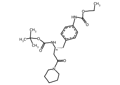 CCOC(=O)Nc1ccc(C[C@H](CC(=O)N2CCCCC2)NC(=O)OC(C)(C)C)cc1